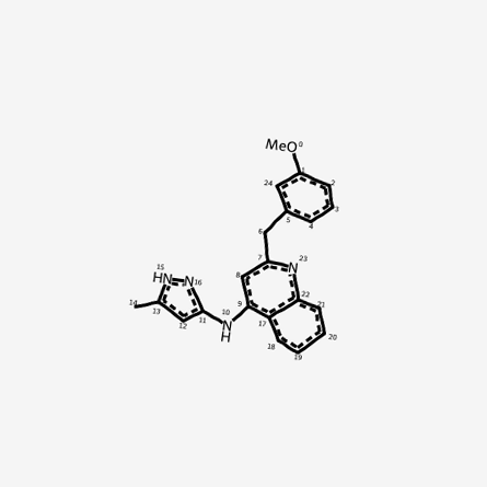 COc1cccc(Cc2cc(Nc3cc(C)[nH]n3)c3ccccc3n2)c1